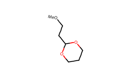 COCCC1OCCCO1